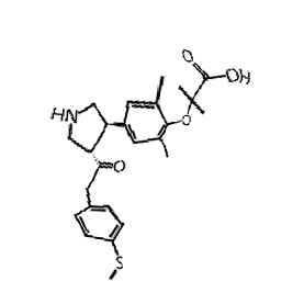 CSc1ccc(CC(=O)[C@@H]2CNC[C@H]2c2cc(C)c(OC(C)(C)C(=O)O)c(C)c2)cc1